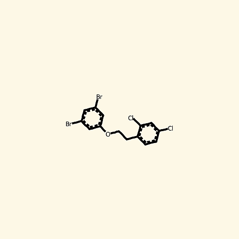 Clc1ccc(CCOc2cc(Br)cc(Br)c2)c(Cl)c1